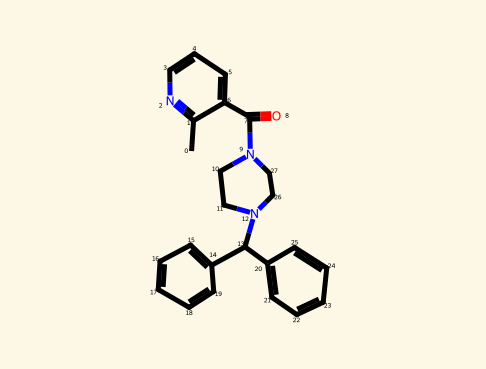 Cc1ncccc1C(=O)N1CCN(C(c2ccccc2)c2ccccc2)CC1